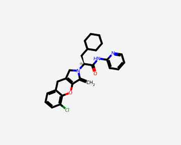 C=C1C2=C(Cc3cccc(Cl)c3O2)CN1[C@@H](CC1CCCCC1)C(=O)Nc1ccccn1